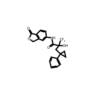 O=C1OCc2cc(NC(=O)C(O)(CC3(c4ccccc4)CC3)C(F)(F)F)ccc21